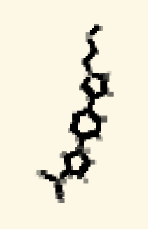 COCCn1cc(-c2ccc(-n3cnc([N+](=O)[O-])c3)cc2)cn1